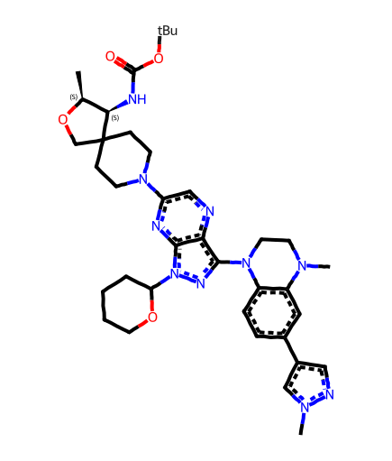 C[C@@H]1OCC2(CCN(c3cnc4c(N5CCN(C)c6cc(-c7cnn(C)c7)ccc65)nn(C5CCCCO5)c4n3)CC2)[C@@H]1NC(=O)OC(C)(C)C